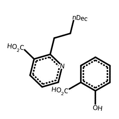 CCCCCCCCCCCCc1ncccc1C(=O)O.O=C(O)c1ccccc1O